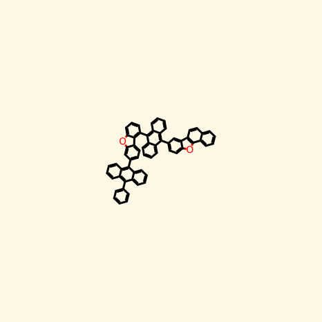 c1ccc(-c2c3ccccc3c(-c3ccc4c(c3)oc3cccc(-c5c6ccccc6c(-c6ccc7oc8c9ccccc9ccc8c7c6)c6ccccc56)c34)c3ccccc23)cc1